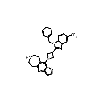 FC(F)(F)C1=CC2N=C(C3CN(c4c5c(nc6ccnn46)CCNCC5)C3)N(CC3=CCCC=C3)C2C=C1